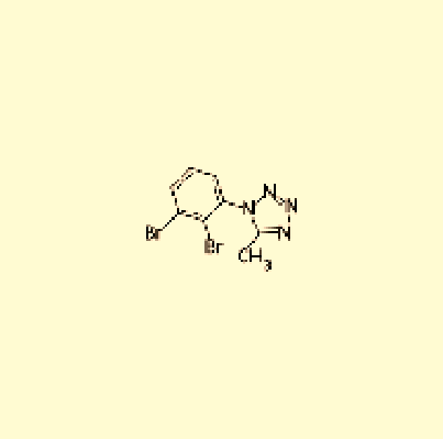 Cc1nnnn1-c1cccc(Br)c1Br